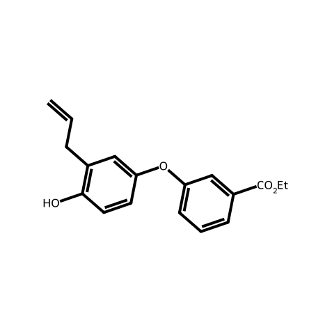 C=CCc1cc(Oc2cccc(C(=O)OCC)c2)ccc1O